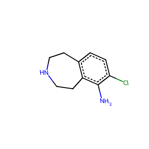 Nc1c(Cl)ccc2c1CCNCC2